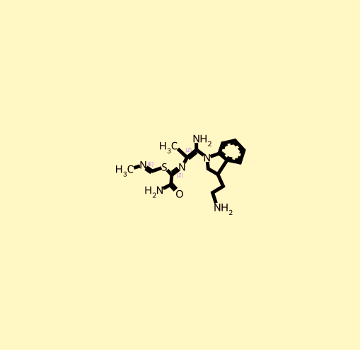 C/N=C/S/C(=N\C(C)=C(\N)N1CC(CCN)c2ccccc21)C(N)=O